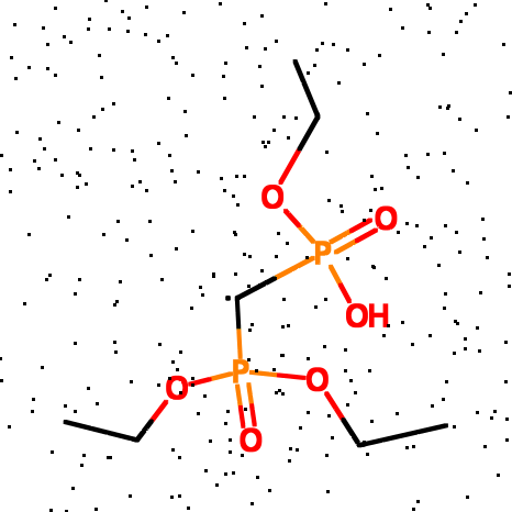 CCOP(=O)(O)[CH]P(=O)(OCC)OCC